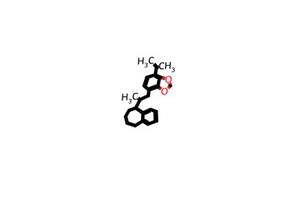 CC(C)c1ccc(CC(C)C2CCCCc3ccccc32)c2c1OCO2